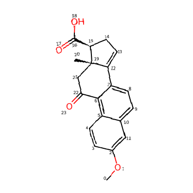 COc1ccc2c3c(ccc2c1)C1=CC[C@H](C(=O)O)[C@@]1(C)CC3=O